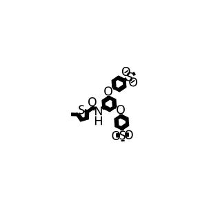 Cc1ccc(C(=O)Nc2cc(Oc3ccc(S(C)(=O)=O)cc3)cc(Oc3ccc(S(C)(=O)=O)cc3)c2)s1